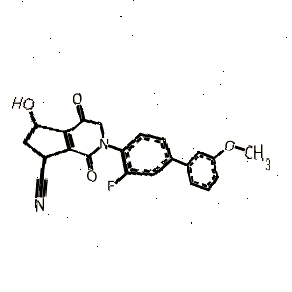 COc1cccc(-c2ccc(N3CC(=O)C4=C(C3=O)C(C#N)CC4O)c(F)c2)c1